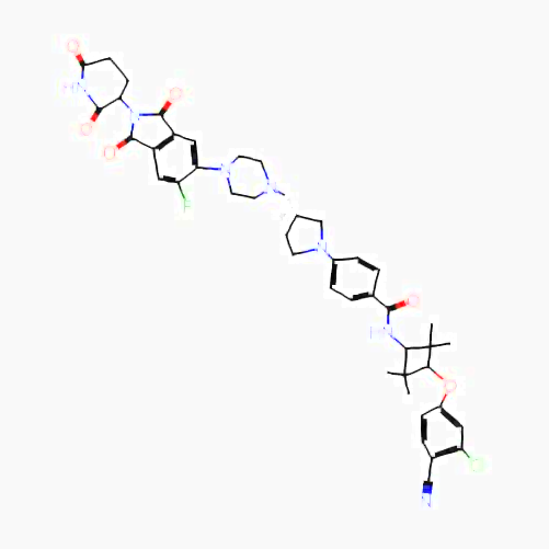 CC1(C)C(NC(=O)c2ccc(N3CC[C@H](CN4CCN(c5cc6c(cc5F)C(=O)N(C5CCC(=O)NC5=O)C6=O)CC4)C3)cc2)C(C)(C)C1Oc1ccc(C#N)c(Cl)c1